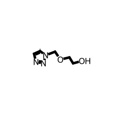 OCCOCn1[c]cnn1